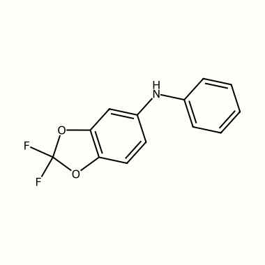 FC1(F)Oc2ccc(Nc3ccccc3)cc2O1